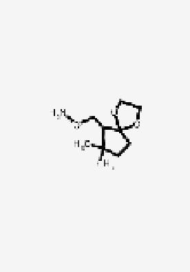 CC1(C)CCC2(OCCO2)C1CON